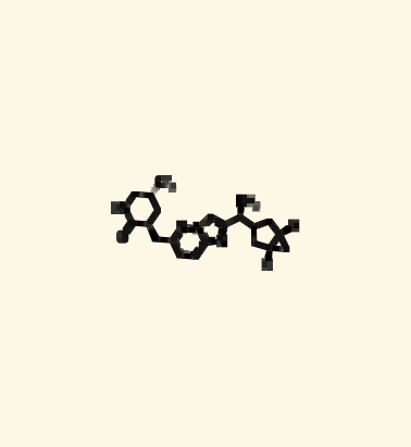 N[C@H](c1cn2nc(C[C@@H]3C[C@@H](C(F)(F)F)CNC3=O)ccc2n1)C1C[C@@H]2C[C@@H]2C1